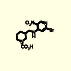 O=C(O)N1CCCC(CNc2cc(Br)ncc2[N+](=O)[O-])C1